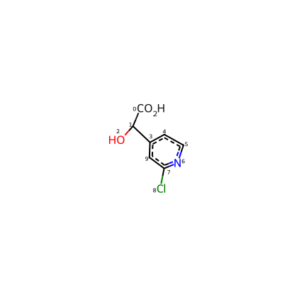 O=C(O)C(O)c1ccnc(Cl)c1